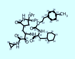 CCCC1(CCC)CC(CC(NC(=O)[C@H](CC2CCCCC2)NC(=O)OCCc2ccc(C)cc2)C(=O)C(=O)NC2CC2)C(=O)N1